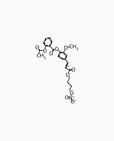 COc1cc(/C=C/C(=O)OCCCCO[N+](=O)[O-])ccc1OC(=O)c1ccccc1OC(C)=O